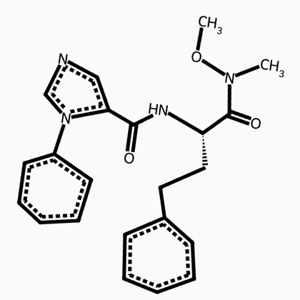 CON(C)C(=O)[C@H](CCc1ccccc1)NC(=O)c1cncn1-c1ccccc1